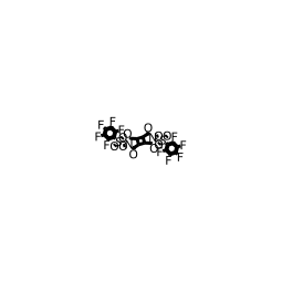 O=C1C2C(C(=O)N1OS(=O)(=O)c1c(F)c(F)c(F)c(F)c1F)C1C(=O)N(OS(=O)(=O)c3c(F)c(F)c(F)c(F)c3F)C(=O)C21